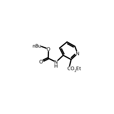 CCCCOC(=O)Nc1cccnc1C(=O)OCC